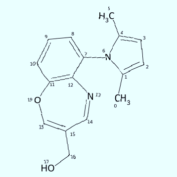 Cc1ccc(C)n1-c1cccc2c1N=CC(CO)=CO2